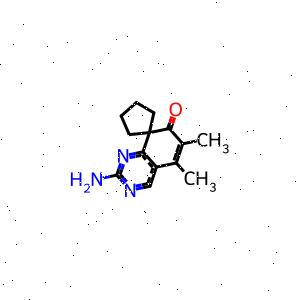 CC1=C(C)c2cnc(N)nc2C2(CCCC2)C1=O